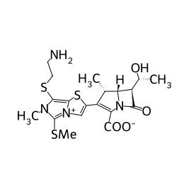 CSc1n(C)c(SCCN)c2sc(C3=C(C(=O)[O-])N4C(=O)[C@H]([C@@H](C)O)[C@H]4[C@H]3C)c[n+]12